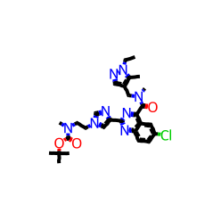 CCn1ncc(CN(C)C(=O)c2nc(-c3cn(CCN(C)C(=O)OC(C)(C)C)cn3)nc3ccc(Cl)cc23)c1C